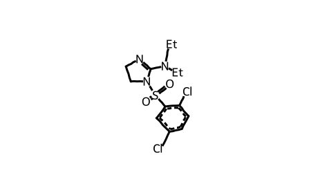 CCN(CC)C1=NCCN1S(=O)(=O)c1cc(Cl)ccc1Cl